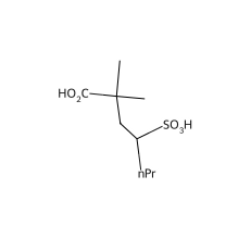 CCCC(CC(C)(C)C(=O)O)S(=O)(=O)O